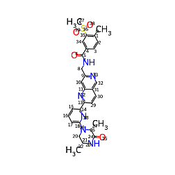 Cc1ccc(C(=O)NCc2cc3nc(-c4cccc(N5C[C@@H](C)NC(=O)[C@H]5C)n4)ccc3cn2)cc1S(C)(=O)=O